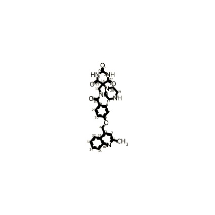 Cc1cc(COc2ccc(C(=O)NCC3(N4CCNCC4)C(=O)NC(=O)NC3=O)cc2)c2ccccc2n1